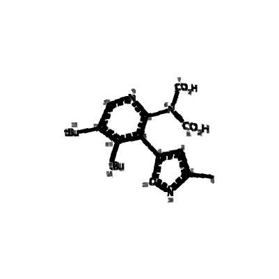 Cc1cc(-c2c(N(C(=O)O)C(=O)O)ncc(C(C)(C)C)c2C(C)(C)C)on1